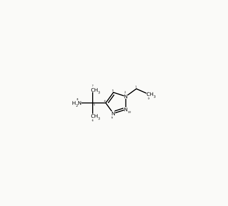 CCn1cc(C(C)(C)N)nn1